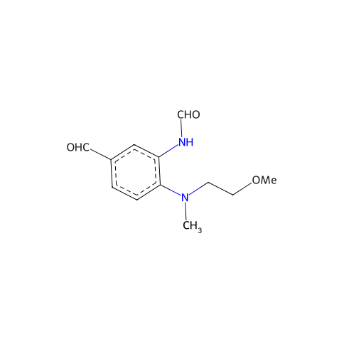 COCCN(C)c1ccc(C=O)cc1NC=O